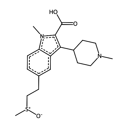 CN1CCC(c2c(C(=O)O)n(C)c3ccc(CC[S+](C)[O-])cc23)CC1